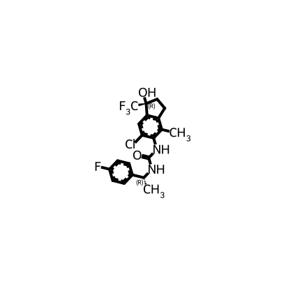 Cc1c2c(cc(Cl)c1NC(=O)N[C@H](C)c1ccc(F)cc1)[C@@](O)(C(F)(F)F)CC2